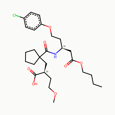 CCCCOC(=O)C[C@H](CCOc1ccc(Cl)cc1)NC(=O)C1(C[C@@H](CCOC)C(=O)O)CCCC1